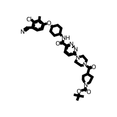 Cc1c(OC2CCC(NC(=O)c3ccc(N4CCN(C(=O)C5CCN(C(=O)OC(C)(C)C)CC5)CC4)nn3)CC2)ccc(C#N)c1Cl